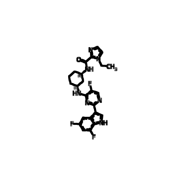 CCn1ccnc1C(=O)N[C@@H]1CCC[C@H](Nc2nc(-c3c[nH]c4c(F)cc(F)cc34)ncc2F)C1